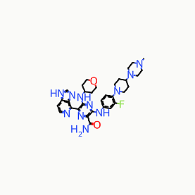 CN1CCN(C2CCN(c3ccc(Nc4nc(NC5CCOCC5)c(-c5nccc6[nH]cnc56)nc4C(N)=O)cc3F)CC2)CC1